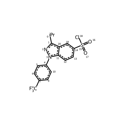 CC(C)c1nn(-c2ccc(C(F)(F)F)cc2)c2ccc(S(=O)(=O)Cl)cc12